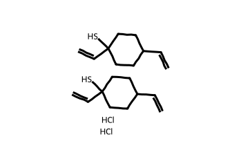 C=CC1CCC(S)(C=C)CC1.C=CC1CCC(S)(C=C)CC1.Cl.Cl